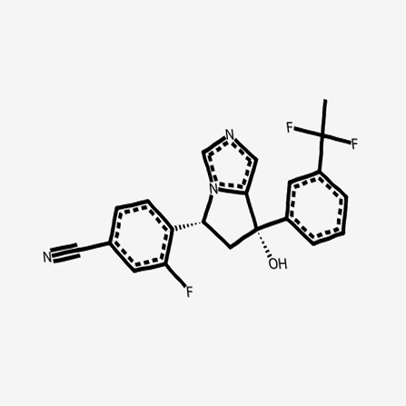 CC(F)(F)c1cccc([C@@]2(O)C[C@H](c3ccc(C#N)cc3F)n3cncc32)c1